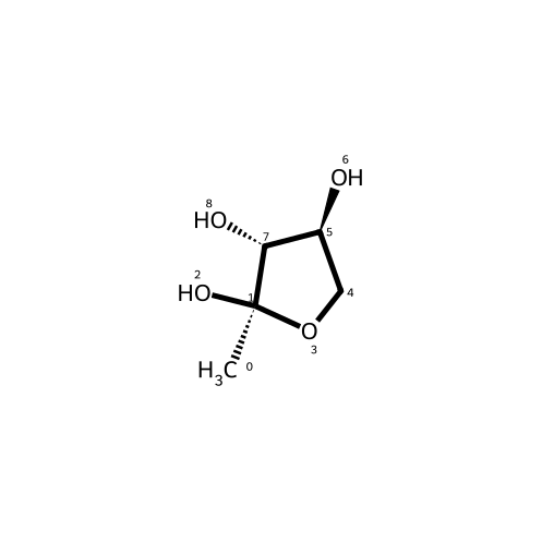 C[C@@]1(O)OC[C@H](O)[C@H]1O